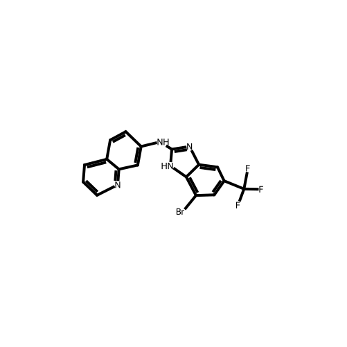 FC(F)(F)c1cc(Br)c2[nH]c(Nc3ccc4cccnc4c3)nc2c1